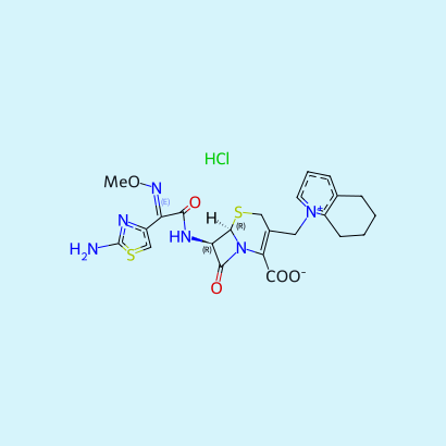 CO/N=C(/C(=O)N[C@@H]1C(=O)N2C(C(=O)[O-])=C(C[n+]3cccc4c3CCCC4)CS[C@H]12)c1csc(N)n1.Cl